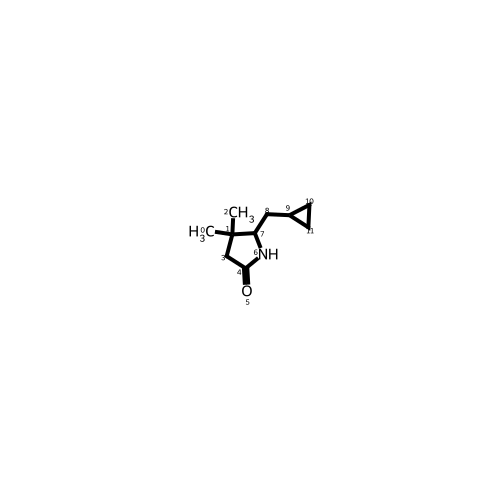 CC1(C)CC(=O)NC1CC1CC1